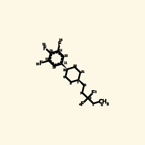 CCC(F)(F)CC[C@H]1CC[C@H](c2cc(F)c(F)c(F)c2)CC1